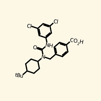 CC(C)(C)C1CCC(N(Cc2ccc(C(=O)O)cc2)C(=O)Nc2cc(Cl)cc(Cl)c2)CC1